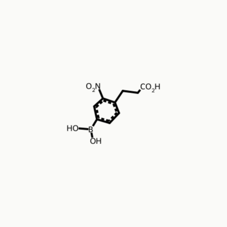 O=C(O)CCc1ccc(B(O)O)cc1[N+](=O)[O-]